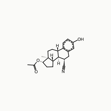 CC(=O)O[C@H]1CC[C@H]2[C@@H]3[C@H](C#N)Cc4cc(O)ccc4[C@H]3CC[C@]12C